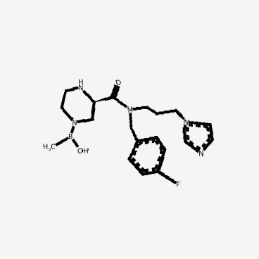 CB(O)N1CCN[C@@H](C(=O)N(CCCn2ccnc2)Cc2ccc(F)cc2)C1